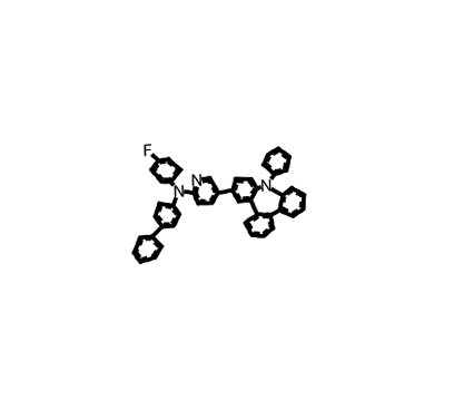 Fc1ccc(N(c2ccc(-c3ccccc3)cc2)c2ccc(-c3ccc4c(c3)-c3ccccc3-c3ccccc3N4c3ccccc3)cn2)cc1